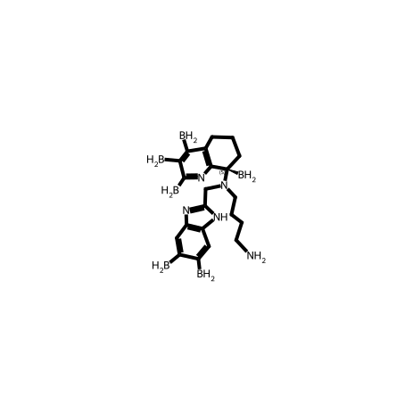 Bc1cc2nc(CN(CCCCN)[C@@]3(B)CCCc4c3nc(B)c(B)c4B)[nH]c2cc1B